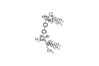 C=N/C(=C(/Br)NCCN(CCC)C(=O)OC(C)(C)C)c1ccc(-c2ccc(-c3c[nH]c(C4CCCN4C(=O)OC(C)(C)C)n3)cc2)cc1